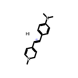 CN1C=CC(/C=C/c2ccc(N(C)C)cc2)=CC1.I